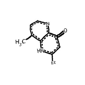 CCc1cc(=O)c2nccc(C)c2[nH]1